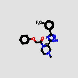 CN1CCN(C(=O)COc2ccccc2)[C@@H](c2nc(-c3cccc(C(F)(F)F)c3)n[nH]2)C1